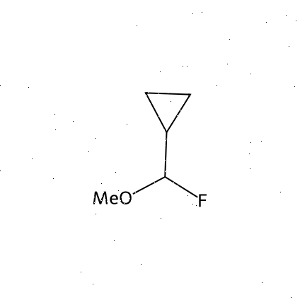 COC(F)C1CC1